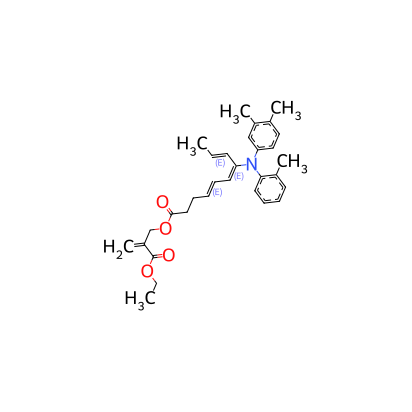 C=C(COC(=O)CC/C=C/C=C(\C=C\C)N(c1ccc(C)c(C)c1)c1ccccc1C)C(=O)OCC